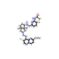 COc1ccc2ncc(F)c(CCN3C[C@H]4CC[C@H](NCc5ccc6c(n5)NC(=O)CS6)[C@H]4C3)c2n1